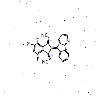 N#C/C=C1C(=C2\c3ccccc3-c3ncccc32)/C(=C/C#N)c2c(F)c(F)cc(F)c2/1